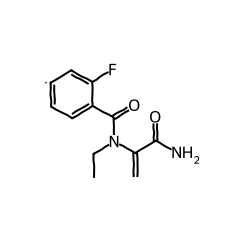 C=C(C(N)=O)N(CC)C(=O)c1cc[c]cc1F